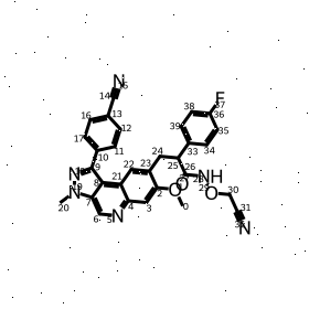 COc1cc2ncc3c(c(-c4ccc(C#N)cc4)nn3C)c2cc1CC(C(=O)NOCC#N)c1ccc(F)cc1